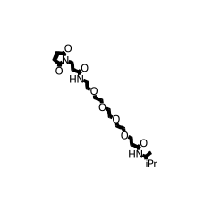 CC(C)C(C)NC(=O)CCOCCOCCOCCOCCNC(=O)CCN1C(=O)C=CC1=O